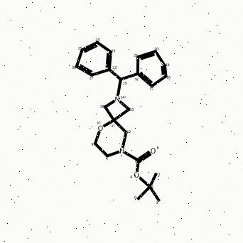 CC(C)(C)OC(=O)N1CCOC2(C1)CN(C(c1ccccc1)c1ccccc1)C2